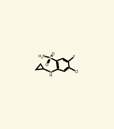 NS(=O)(=O)c1cc(F)c(Cl)cc1NC1CC1